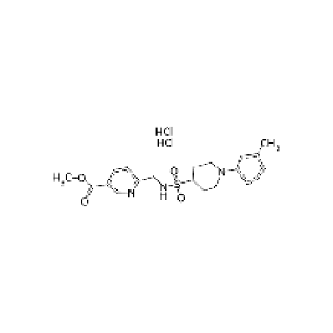 COC(=O)c1ccc(CNS(=O)(=O)C2CCN(c3cccc(C)c3)CC2)nc1.Cl.Cl